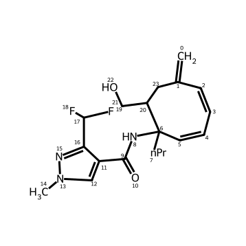 C=C1/C=C\C=CC(CCC)(NC(=O)c2cn(C)nc2C(F)F)C(CO)C1